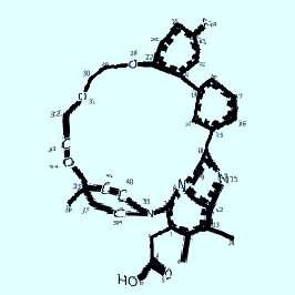 Cc1c(CC(=O)O)c2n3cc(nc3c1C)-c1cccc(c1)-c1cc(F)ccc1OCCOCCOC1(C)CCN2CC1